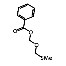 CSCOCOC(=O)c1ccccc1